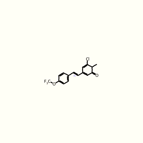 CC1C(=O)C=C(/C=C/c2ccc(OC(F)(F)F)cc2)C=C1Cl